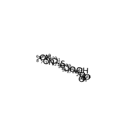 CN(C(=O)OC(C)(C)C)c1ccc(-c2cc3ccc(OC[C@H](O)COS(C)(=O)=O)cc3s2)cn1